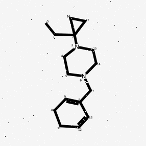 CCC1(N2CCN(CC3=CCCC=C3)CC2)CC1